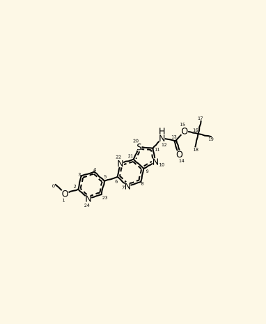 COc1ccc(-c2ncc3nc(NC(=O)OC(C)(C)C)sc3n2)cn1